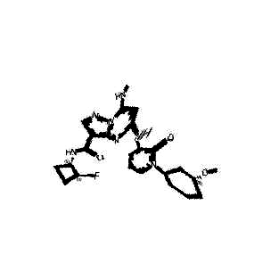 CNc1cc(Nc2cccn(C3CCC[C@@H](OC)C3)c2=O)nc2c(C(=O)N[C@H]3CC[C@@H]3F)cnn12